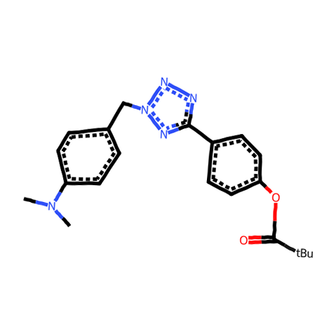 CN(C)c1ccc(Cn2nnc(-c3ccc(OC(=O)C(C)(C)C)cc3)n2)cc1